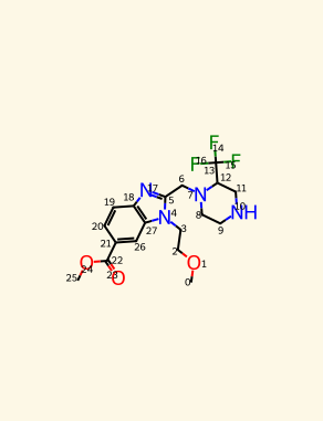 COCCn1c(CN2CCNCC2C(F)(F)F)nc2ccc(C(=O)OC)cc21